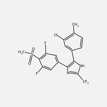 Cc1ccc(-c2[nH]c(C(F)(F)F)nc2-c2cc(F)c(S(C)(=O)=O)c(F)c2)cc1Cl